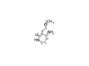 COCCC1C(=O)NCCC[C@@H]1N